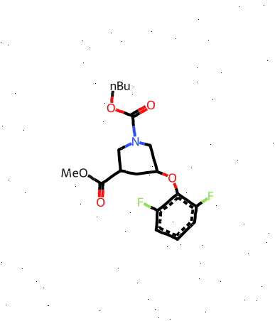 CCCCOC(=O)N1CC(Oc2c(F)cccc2F)CC(C(=O)OC)C1